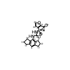 O=C(Nc1c2c(cc3c1CCC3)CCC2)NS1(=O)=NC(=O)c2occc21